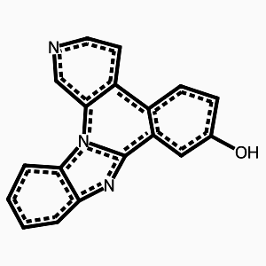 Oc1ccc2c3ccncc3n3c4ccccc4nc3c2c1